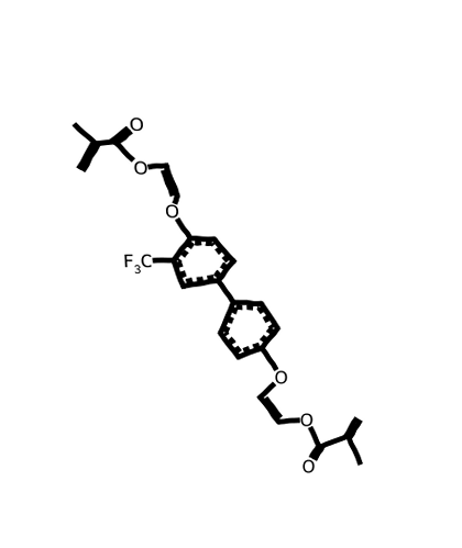 C=C(C)C(=O)O/C=C\Oc1ccc(-c2ccc(O/C=C\OC(=O)C(=C)C)c(C(F)(F)F)c2)cc1